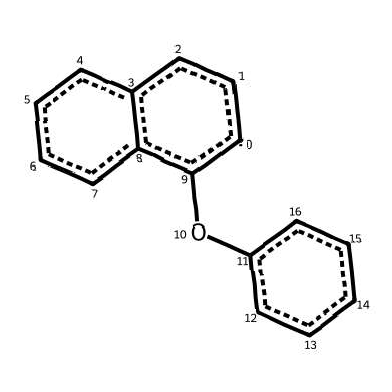 [c]1ccc2ccccc2c1Oc1ccccc1